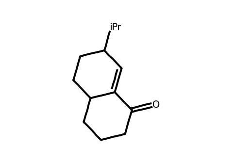 CC(C)C1C=C2C(=O)CCCC2CC1